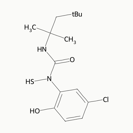 CC(C)(C)CC(C)(C)NC(=O)N(S)c1cc(Cl)ccc1O